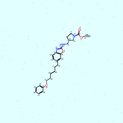 CC(C)(C)OC(=O)N1CC[C@H](CNc2nc3ccc(CCCCCCOc4ccccc4)cc3o2)C1